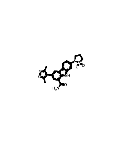 Cc1noc(C)c1-c1cc(C(N)=O)c2[nH]c3cc(N4CCCS4(=O)=O)ccc3c2c1